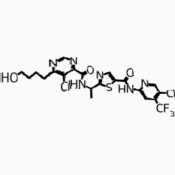 CC(NC(=O)c1ncnc(CCCCO)c1Cl)c1ncc(C(=O)Nc2cc(C(F)(F)F)c(Cl)cn2)s1